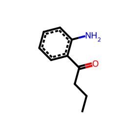 CCCC(=O)c1ccccc1N